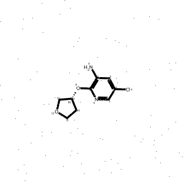 Nc1cc(Cl)cnc1O[C@@H]1CCOC1